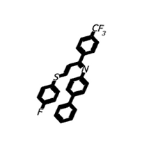 Fc1ccc(SC=CC(=Nc2ccc(-c3ccccc3)cc2)c2ccc(C(F)(F)F)cc2)cc1